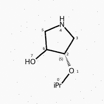 CC(C)O[C@H]1CNCC1O